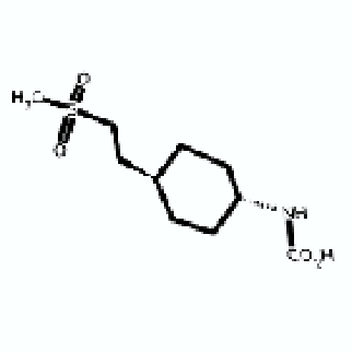 CS(=O)(=O)CC[C@H]1CC[C@H](NC(=O)O)CC1